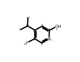 CC(C)c1cc(O)ncc1F